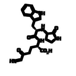 N=CC(=O)CC[C@H](NC(=O)[C@H](Cc1c[nH]c2ccccc12)NC1CCNC1=O)C(=O)O